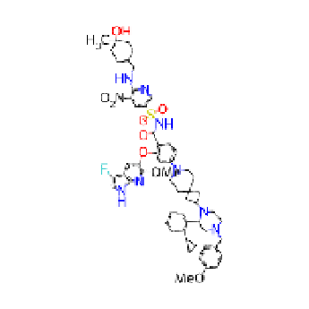 COc1ccc(CN2CCN(C3CC4(CCN(c5ccc(C(=O)NS(=O)(=O)c6cnc(NCC7CCC(C)(O)CC7)c([N+](=O)[O-])c6)c(Oc6cc7c(F)c[nH]c7nc6OC)c5)CC4)C3)[C@H](c3ccccc3C3CC3)C2)cc1